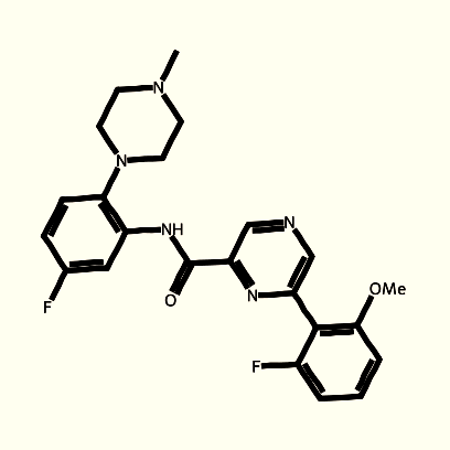 COc1cccc(F)c1-c1cncc(C(=O)Nc2cc(F)ccc2N2CCN(C)CC2)n1